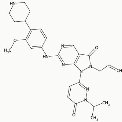 C=CCn1c(=O)c2cnc(Nc3ccc(C4CCNCC4)c(OC)c3)nc2n1-c1ccc(=O)n(C(C)C)n1